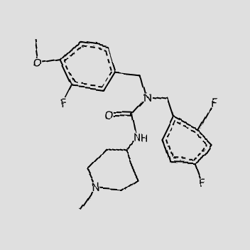 COc1ccc(CN(Cc2ccc(F)cc2F)C(=O)NC2CCN(C)CC2)cc1F